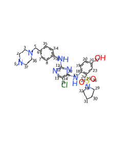 CN1CCN(Cc2ccc(Nc3ncc(Cl)c(Nc4ccc(O)cc4S(=O)(=O)N4CCCC4)n3)cc2)CC1